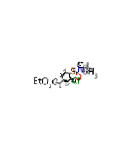 CCOC(=O)Cc1ccc(SC(=O)N(C)C)c(Cl)c1